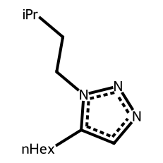 CCCCCCc1cnnn1CCC(C)C